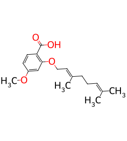 COc1ccc(C(=O)O)c(OC/C=C(\C)CCC=C(C)C)c1